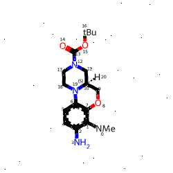 CNc1c(N)ccc2c1OC[C@@H]1CN(C(=O)OC(C)(C)C)CCN21